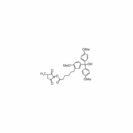 COc1ccc(C(O)(c2ccc(OC)cc2)c2ccc(OC)c(CCCCCC(=O)ON3C(=O)CC(C)C3=O)c2)cc1